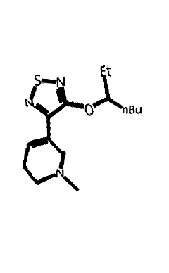 CCCCC(CC)Oc1nsnc1C1=CCCN(C)C1